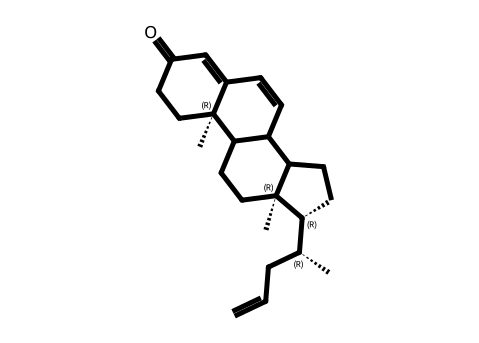 C=CC[C@@H](C)[C@H]1CCC2C3C=CC4=CC(=O)CC[C@]4(C)C3CC[C@@]21C